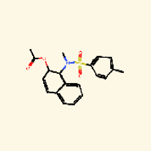 CC(=O)OC1C=Cc2ccccc2C1N(C)S(=O)(=O)c1ccc(C)cc1